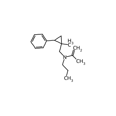 C=C(C)N(CCC)CC1(C)CC1c1ccccc1